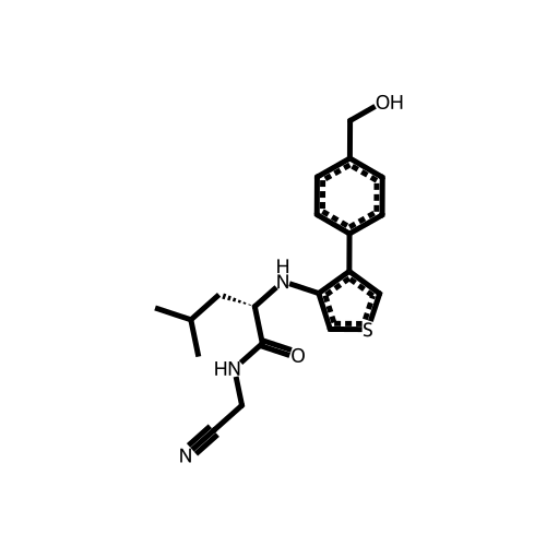 CC(C)C[C@H](Nc1cscc1-c1ccc(CO)cc1)C(=O)NCC#N